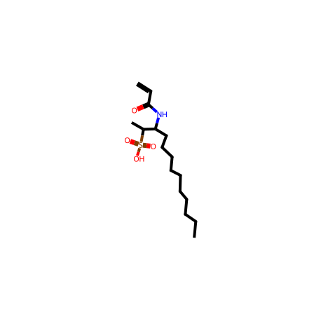 C=CC(=O)NC(CCCCCCCCCC)C(C)S(=O)(=O)O